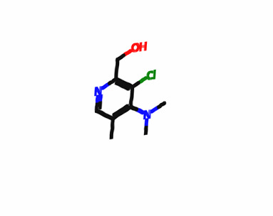 Cc1cnc(CO)c(Cl)c1N(C)C